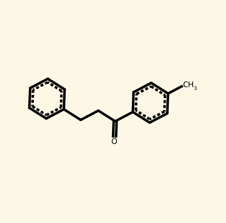 Cc1ccc(C(=O)CCc2ccccc2)cc1